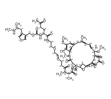 CNN(C)Cc1cocc1COC(=O)N[C@@H](CCC(N)=O)C(=O)NCCOCCOCCC(=O)N(C)[C@@H](C)C(=O)O[C@H]1CC(=O)N(C)c2cc(cc(OC)c2Cl)C/C(C)=C/C=C/[C@@H](OC)[C@@]2(O)C[C@H](OC(=O)N2)C2(C)C[C@@]1(C)O2